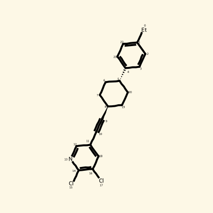 CCc1ccc([C@H]2CC[C@H](C#Cc3cnc(Cl)c(Cl)c3)CC2)cc1